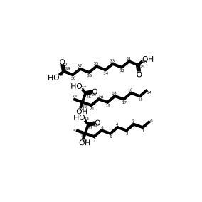 CCCCCCCCC(C)(O)C(=O)O.CCCCCCCCC(C)(O)C(=O)O.O=C(O)CCCCCCCCC(=O)O